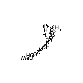 COCC(O)COCCOCCOCCOCCCNC(=O)OC1CCC2(C)C(=CCC3C2CCC2(C)C(C(C)CCCC(C)C)CCC32)C1